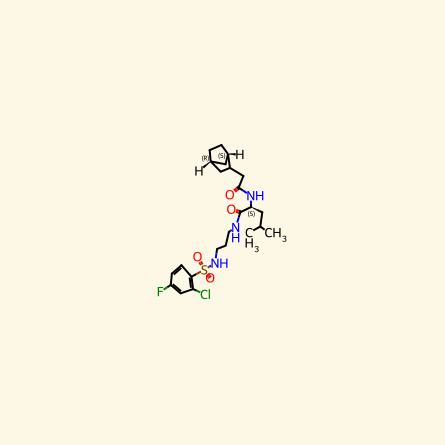 CC(C)C[C@H](NC(=O)CC1C[C@@H]2CC[C@H]1C2)C(=O)NCCCNS(=O)(=O)c1ccc(F)cc1Cl